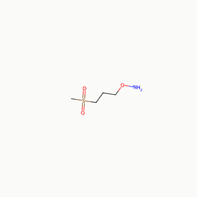 CS(=O)(=O)CCCON